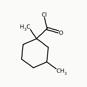 CC1CCCC(C)(C(=O)Cl)C1